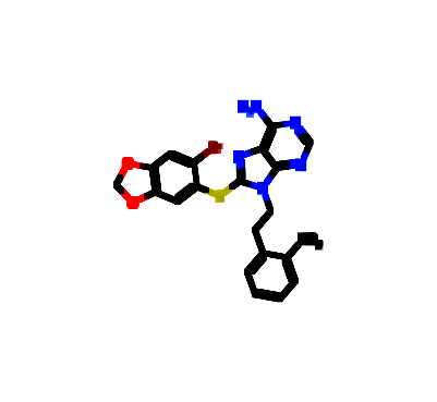 Nc1ncnc2c1nc(Sc1cc3c(cc1Br)OCO3)n2CCc1ccccc1[N+](=O)[O-]